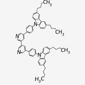 CCCCc1ccc2c(c1)c1cc(CCCC)ccc1n2-c1ccc(-c2cncc(-c3cncc(-c4ccc(-n5c6ccc(CCCC)cc6c6cc(CCCC)ccc65)cc4)c3)c2)cc1